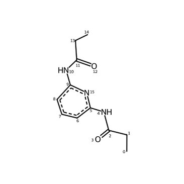 CCC(=O)Nc1cccc(NC(=O)CC)n1